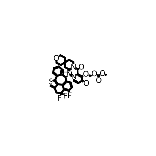 COC(=O)OCOc1c2n(ccc1=O)N([C@@H]1c3ccccc3-c3scc4c3-c3c1ccc(F)c3C(F)(F)C4)[C@@H]1CC3(CCOCC3)CCN1C2=O